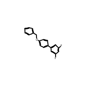 Fc1[c]c(F)cc(-c2ccc(OCc3ccccc3)cc2)c1